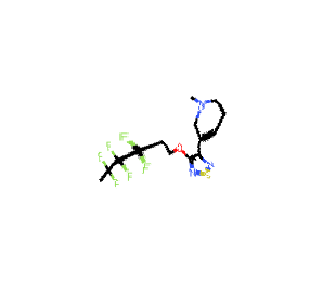 CN1CCC=C(c2nsnc2OCCC(F)(F)C(F)(F)C(C)(F)F)C1